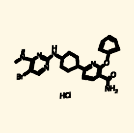 CN(C)c1nc(NC2CCC(c3ccc(C(N)=O)c(Oc4ccccc4)n3)CC2)ncc1Br.Cl